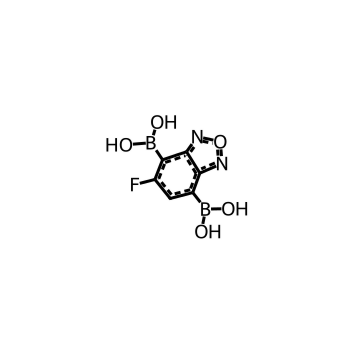 OB(O)c1cc(F)c(B(O)O)c2nonc12